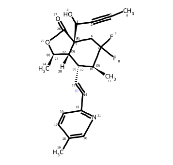 CC#CC(O)[C@@]12CC(F)(F)[C@@H](C)[C@H](/C=C/c3ccc(C)cn3)[C@@H]1[C@@H](C)OC2=O